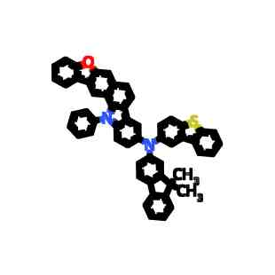 CC1(C)c2ccccc2-c2ccc(N(c3ccc4sc5ccccc5c4c3)c3ccc4c(c3)c3ccc5cc6oc7ccccc7c6cc5c3n4-c3ccccc3)cc21